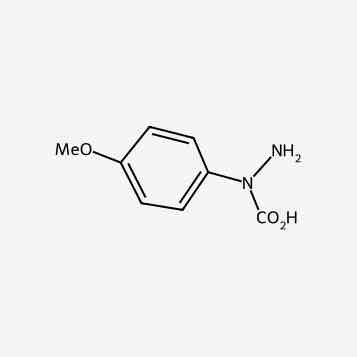 COc1ccc(N(N)C(=O)O)cc1